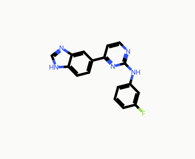 Fc1cccc(Nc2nccc(-c3ccc4[nH]cnc4c3)n2)c1